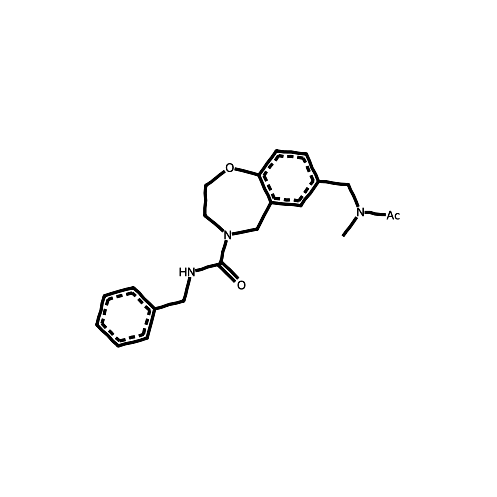 CC(=O)N(C)Cc1ccc2c(c1)CN(C(=O)NCc1ccccc1)CCO2